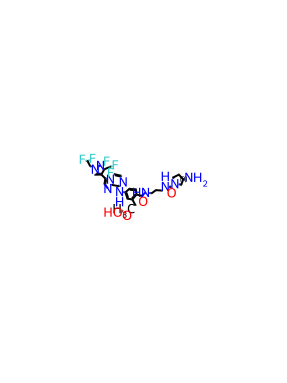 CCc1cc(Nc2nccn3c(-c4cn(CC(F)F)nc4C(F)(F)F)cnc23)ccc1C(=O)NCCCNC(=O)N1CC[C@@H](N)C1.O=CO